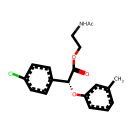 CC(=O)NCCOC(=O)[C@H](Oc1cccc(C)c1)c1ccc(Cl)cc1